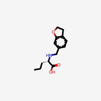 CCC[C@H](NCc1ccc2c(c1)OCC2)C(=O)O